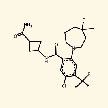 NC(=O)C1CC(NC(=O)c2cc(Cl)c(C(F)(F)F)cc2N2CCCC(F)(F)CC2)C1